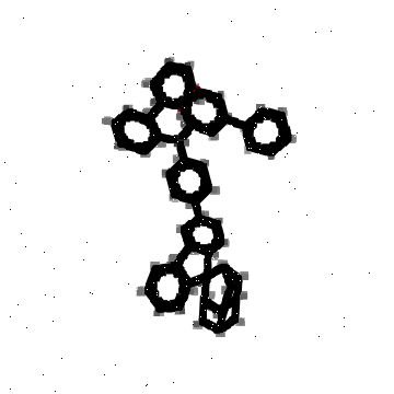 c1ccc(-c2cccc(N(c3ccc(-c4ccc5c(c4)-c4ccccc4C54C5CC6CC(C5)CC4C6)cc3)c3ccccc3-c3ccccc3)c2)cc1